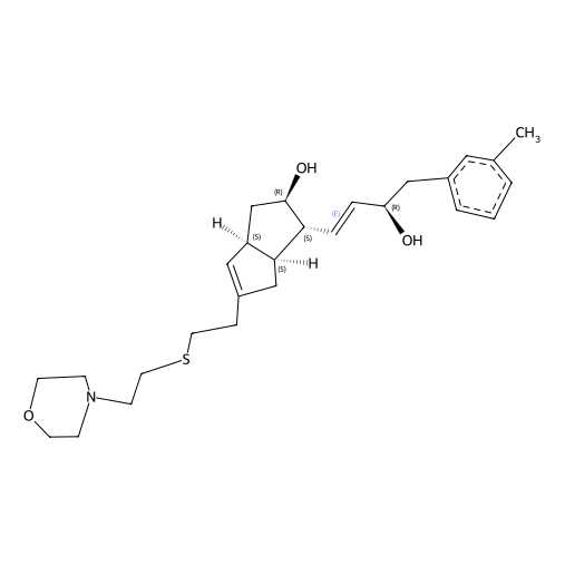 Cc1cccc(C[C@@H](O)/C=C/[C@@H]2[C@H]3CC(CCSCCN4CCOCC4)=C[C@H]3C[C@H]2O)c1